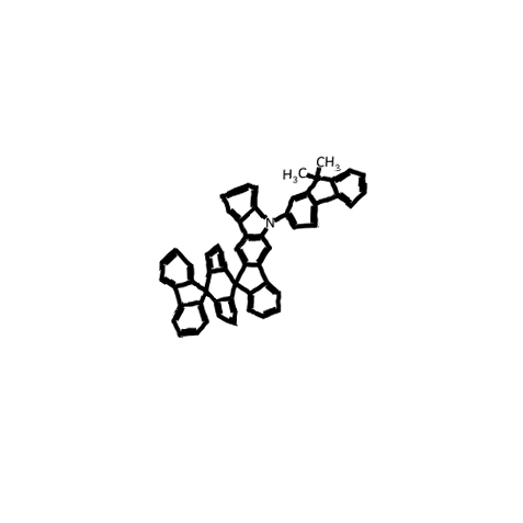 CC1(C)c2ccccc2-c2ccc(-n3c4ccccc4c4cc5c(cc43)-c3ccccc3C53c4ccccc4C4(c5ccccc5-c5ccccc54)c4ccccc43)cc21